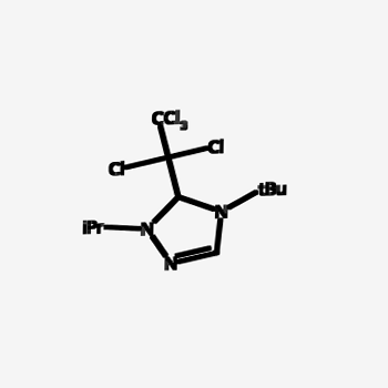 CC(C)N1N=CN(C(C)(C)C)C1C(Cl)(Cl)C(Cl)(Cl)Cl